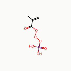 C=C(C)C(=O)OOOP(=O)(O)O